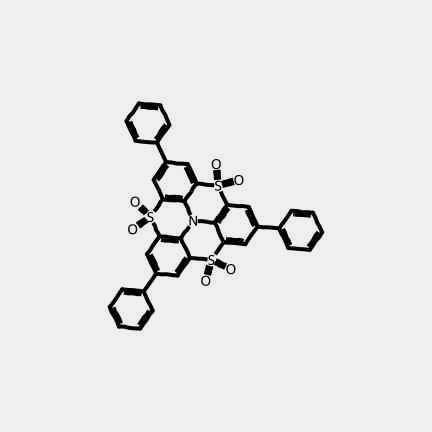 O=S1(=O)c2cc(-c3ccccc3)cc3c2N2c4c1cc(-c1ccccc1)cc4S(=O)(=O)c1cc(-c4ccccc4)cc(c12)S3(=O)=O